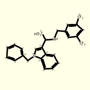 O=C(O)C(NCc1cc(C(F)(F)F)cc(C(F)(F)F)c1)c1cn(Cc2ccccc2)c2ccccc12